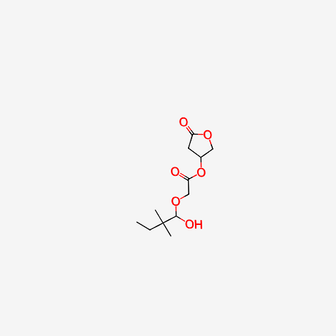 CCC(C)(C)C(O)OCC(=O)OC1COC(=O)C1